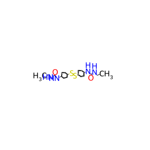 CCNC(=O)Nc1ccc(SSc2ccc(NC(=O)NCC)cc2)cc1